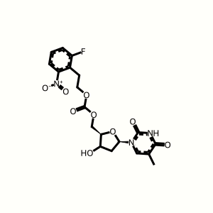 Cc1cn([C@H]2CC(O)[C@@H](COC(=O)OCCc3c(F)cccc3[N+](=O)[O-])O2)c(=O)[nH]c1=O